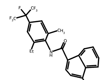 CCc1cc(C(F)(C(F)(F)F)C(F)(F)F)cc(C)c1NC(=O)c1ccc(F)c2ccccc12